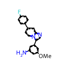 COc1cc(N)cc(-c2cnc3cc(-c4ccc(F)cc4)ccn23)c1